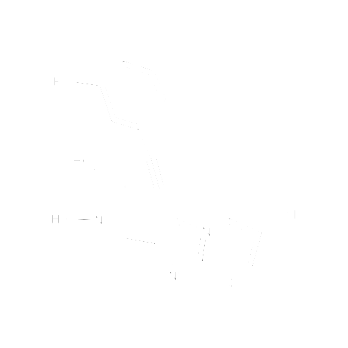 CN(CC(=O)O)Cc1nc2ccc(Cl)cn2c1C#Cc1cccc(C(F)(F)F)c1